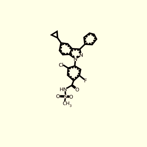 CS(=O)(=O)NC(=O)c1cc(Cl)c(-n2nc(-c3ccccc3)c3cc(C4CC4)ccc32)cc1F